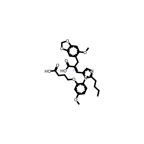 CCCCc1ncc(/C=C(\Cc2cc3c(cc2OC)OCO3)C(=O)O)n1-c1ccc(OC)cc1OCCCC(=O)O